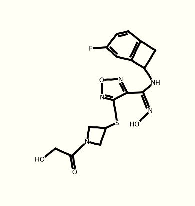 O=C(CO)N1CC(Sc2nonc2/C(=N\O)NC2Cc3ccc(F)cc32)C1